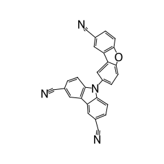 N#Cc1ccc2oc3ccc(-n4c5ccc(C#N)cc5c5cc(C#N)ccc54)cc3c2c1